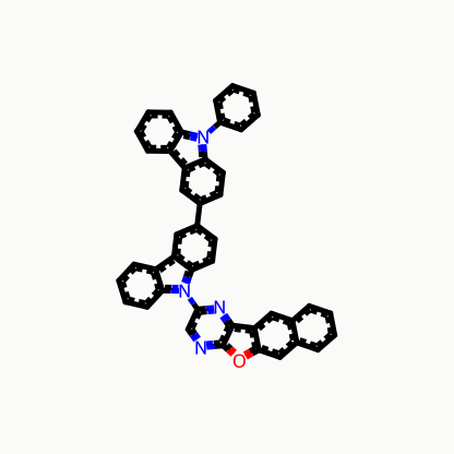 c1ccc(-n2c3ccccc3c3cc(-c4ccc5c(c4)c4ccccc4n5-c4cnc5oc6cc7ccccc7cc6c5n4)ccc32)cc1